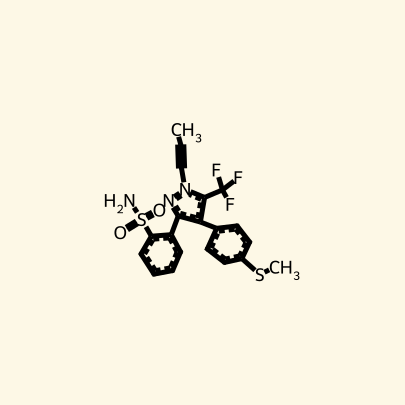 CC#Cn1nc(-c2ccccc2S(N)(=O)=O)c(-c2ccc(SC)cc2)c1C(F)(F)F